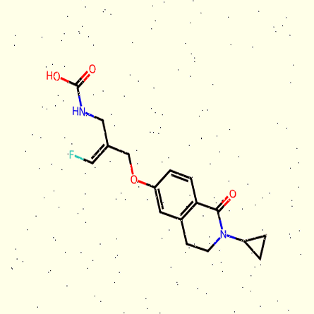 O=C(O)NCC(=CF)COc1ccc2c(c1)CCN(C1CC1)C2=O